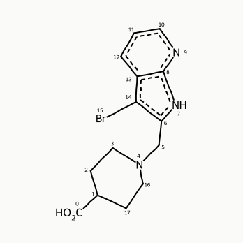 O=C(O)C1CCN(Cc2[nH]c3ncccc3c2Br)CC1